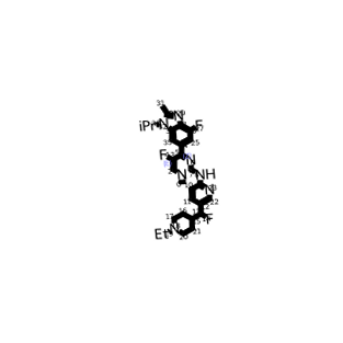 C=N/C=C(F)\C(=N/CNc1ccc(C(F)C2CCN(CC)CC2)cn1)c1cc(F)c2nc(C)n(C(C)C)c2c1